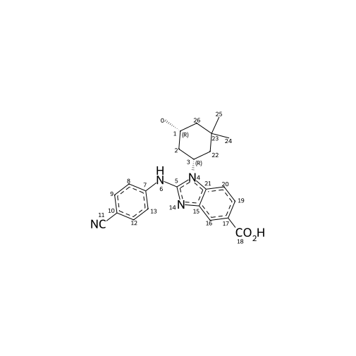 C[C@H]1C[C@@H](n2c(Nc3ccc(C#N)cc3)nc3cc(C(=O)O)ccc32)CC(C)(C)C1